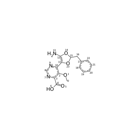 COc1c(C(=O)O)ncnc1C1=C(N)OC(Cc2ccccc2)O1